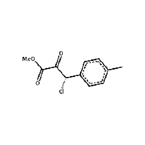 COC(=O)C(=O)[C@@H](Cl)c1ccc(C)cc1